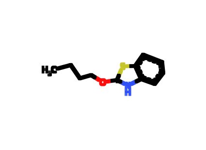 CCCCO[C]1Nc2ccccc2S1